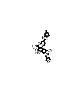 Cc1ccc2oc(C3CCN(C4=C(C(N)=O)C(O)N(C)c5cc(NCC6CCOC6)c(C#N)cc54)CC3)nc2c1